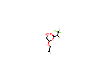 C#CCOC(CO)OC(=O)C(F)C(F)(F)F